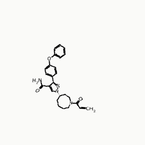 C=CC(=O)N1CCCC[C@H](n2cc(C(N)=O)c(-c3ccc(Oc4ccccc4)cc3)n2)CC1